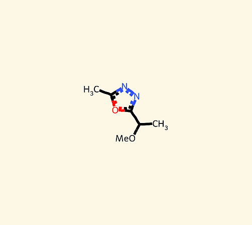 COC(C)c1nnc(C)o1